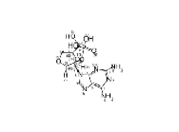 Nc1nc(N)c2ncn([C@@H]3O[C@@]4(CO)CO[C@@H]3[C@@H]4OP(=O)(O)O)c2n1